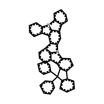 c1ccc(C2(c3ccccc3)c3ccccc3-c3ccc4c(c32)c2cccc3c5c6c7ccccc7n7c8ccccc8c(cc5n4c23)c67)cc1